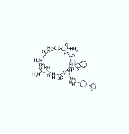 CC[C@H](C)[C@@H]1NC(=O)[C@H](CC(N)=O)NC(=O)[C@@H](N)CC(=O)NCCCC[C@@H](C(N)=O)NC(=O)[C@H](Cc2csc3ccccc23)NC(=O)[C@@H]2C[C@H](n3cc(-c4ccc(-c5cccs5)cc4)nn3)CN2C1=O